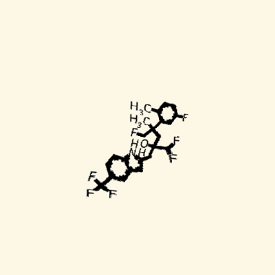 Cc1ccc(F)cc1C(C)(CF)CC(O)(Cc1cc2cc(C(F)(F)F)ccc2[nH]1)C(F)F